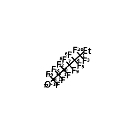 CCC(F)(F)C(F)(F)C(F)(F)C(F)(F)C(F)(F)C([O])(F)F